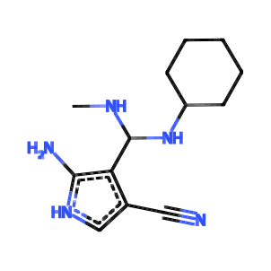 CNC(NC1CCCCC1)c1c(C#N)c[nH]c1N